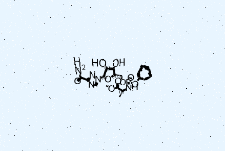 COC(=O)[C@H](C)NP(=O)(OC[C@H]1O[C@@H](n2cnc(C(N)=O)n2)[C@@H](O)C1O)Oc1ccccc1